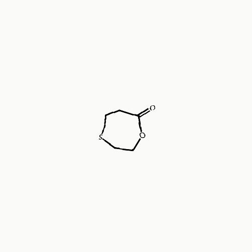 O=C1CCSCCO1